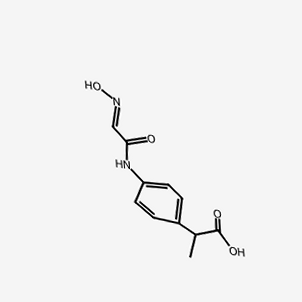 CC(C(=O)O)c1ccc(NC(=O)C=NO)cc1